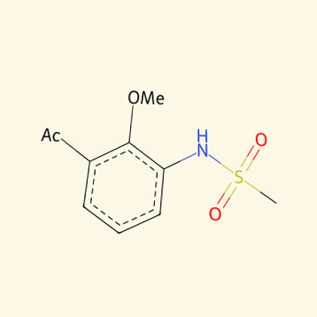 COc1c(NS(C)(=O)=O)cccc1C(C)=O